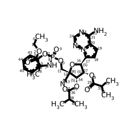 CCOC(=O)[C@H](C)N[P@@](=O)(OC[C@@]1(C#N)O[C@@H](c2ccc3c(N)ncnn23)[C@H](OC(=O)C(C)C)[C@@H]1OC(=O)C(C)C)Oc1ccccc1